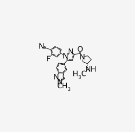 CN[C@H]1CCN(C(=O)c2cc(-c3ccc4nn(C)cc4c3)n(-c3ccc(C#N)c(F)c3)n2)C1